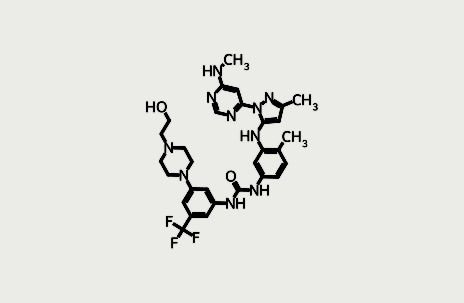 CNc1cc(-n2nc(C)cc2Nc2cc(NC(=O)Nc3cc(N4CCN(CCO)CC4)cc(C(F)(F)F)c3)ccc2C)ncn1